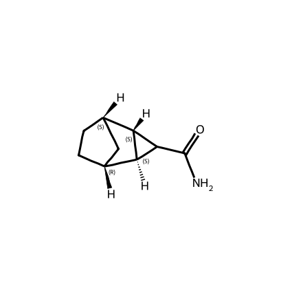 NC(=O)C1[C@H]2[C@@H]3CC[C@@H](C3)[C@H]12